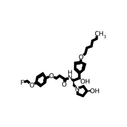 CCCCCCOc1ccc([C@@H](O)[C@@H](CN2CC[C@H](O)C2)NC(=O)CCOc2ccc(OCF)cc2)cc1